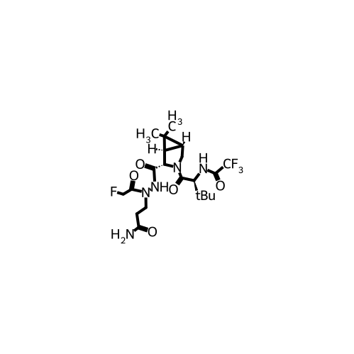 CC(C)(C)[C@H](NC(=O)C(F)(F)F)C(=O)N1C[C@H]2[C@@H]([C@H]1C(=O)NN(CCC(N)=O)C(=O)CF)C2(C)C